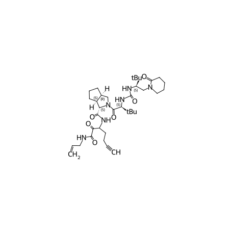 C#CCCC(NC(=O)[C@@H]1[C@H]2CCC[C@H]2CN1C(=O)[C@@H](NC(=O)N[C@H](CN1CCCCC1=O)C(C)(C)C)C(C)(C)C)C(=O)C(=O)NCC=C